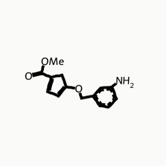 COC(=O)C1=CC=C(OCc2cccc(N)c2)C1